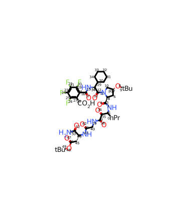 CCCC(NC(=O)[C@@H]1C[C@@H](OC(C)(C)C)CN1C(=O)[C@@H](NC(=O)c1c(F)c(F)c(F)c(F)c1C(=O)O)C1CCCCC1)C(=O)C(=O)NCC(=O)N[C@H](CC(=O)OC(C)(C)C)C(N)=O